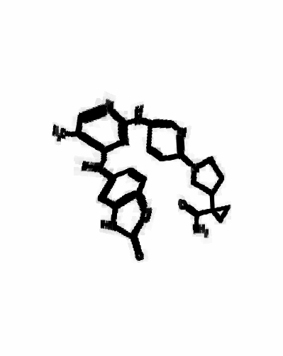 Cc1cnc(Nc2ccc(N3CCC(C4(C(N)=O)CC4)C3)nc2)nc1Nc1ccc2oc(=O)[nH]c2c1